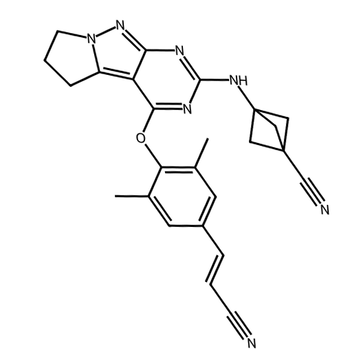 Cc1cc(/C=C/C#N)cc(C)c1Oc1nc(NC23CC(C#N)(C2)C3)nc2nn3c(c12)CCC3